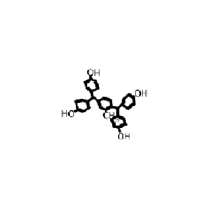 Cc1cc(C(c2ccc(O)cc2)c2ccc(O)cc2)ccc1C(c1ccc(O)cc1)c1ccc(O)cc1